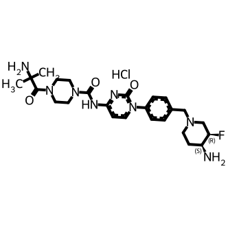 CC(C)(N)C(=O)N1CCN(C(=O)Nc2ccn(-c3ccc(CN4CC[C@H](N)[C@H](F)C4)cc3)c(=O)n2)CC1.Cl